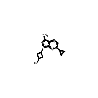 Nc1nn(C2CC(O)C2)c2nc(C3CC3)cnc12